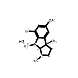 CC(=O)Oc1cc(Br)c2c(c1)[C@]1(C)CCN(C)C1N2C.Cl